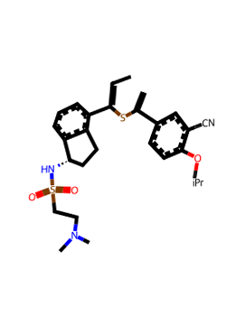 C=C(S/C(=C\C)c1cccc2c1CC[C@@H]2NS(=O)(=O)CCN(C)C)c1ccc(OC(C)C)c(C#N)c1